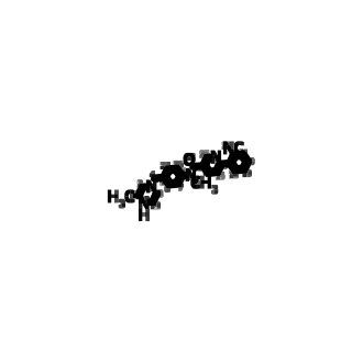 C[C@H]1CN(Cc2ccc(N(C)C(=O)c3ccc(-c4ccccc4C#N)nc3)cc2)CCN1